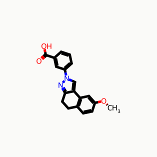 COc1ccc2c(c1)-c1cn(-c3cccc(C(=O)O)c3)nc1CC2